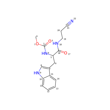 COC(=O)NC(Cc1c[nH]c2ccccc12)C(=O)NCCC#N